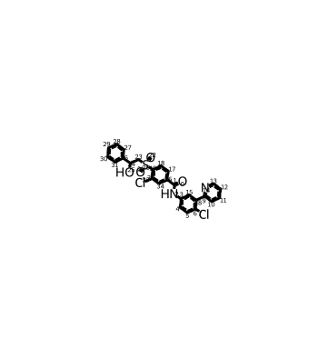 O=C(Nc1ccc(Cl)c(-c2ccccn2)c1)c1ccc(S(=O)(=O)CC(O)c2ccccc2)c(Cl)c1